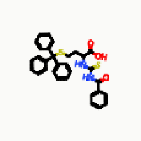 O=C(NC(=S)NC(CCSC(c1ccccc1)(c1ccccc1)c1ccccc1)C(=O)O)c1ccccc1